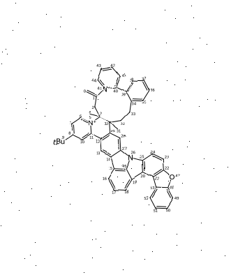 C=C1CC2(C)[n+]3ccc(C(C)(C)C)cc3-c3cc4c5cccc6c7c8c(ccc7n(c4cc3C2(C)CCc2ccccc2-c2cccc[n+]21)c56)oc1ccccc18